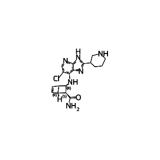 NC(=O)[C@H]1[C@@H]2C=CC2[C@H]1Nc1c(Cl)cnc2[nH]c(C3CCCNC3)nc12